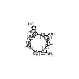 CC[C@H](C)[C@@H]1NC(=O)CNC(=O)C(Cc2c(SO)[nH]c3cc(O)ccc23)NC(=O)[C@H]([C@@H](C)[C@@H](O)CO)NC(=O)[C@@H]2CC(C)CN2C(=O)[C@H](CC(N)=O)NC(=O)C(I)NC(=O)CNC1=O